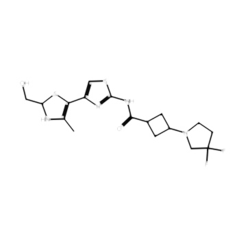 CC1=C(c2csc(NC(=O)C3CC(N4CCC(F)(F)C4)C3)n2)SC(CO)N1